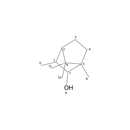 CC1C2CCC(C)(C1O)C2(C)C